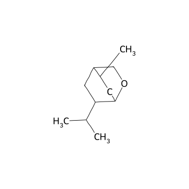 CC(C)C1CC2COC1CC2C